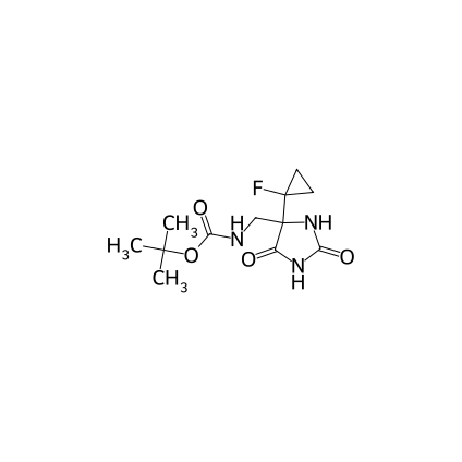 CC(C)(C)OC(=O)NCC1(C2(F)CC2)NC(=O)NC1=O